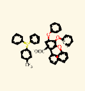 FC(F)(F)c1ccc([S+](c2ccccc2)c2ccccc2)cc1.O=C([O-])c1cc(Oc2ccccc2)c(Oc2ccccc2)c(Oc2ccccc2)c1-c1ccccc1